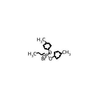 CCCC[PH](Br)(Oc1ccc(C)cc1)Oc1ccc(C)cc1